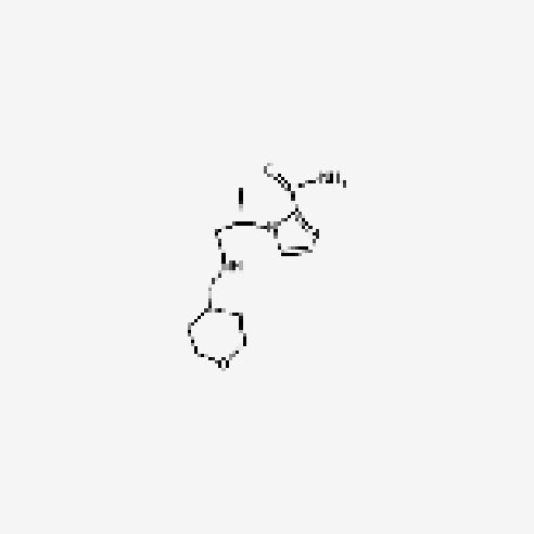 CC(CNCC1CCOCC1)n1c[c]nc1C(N)=O